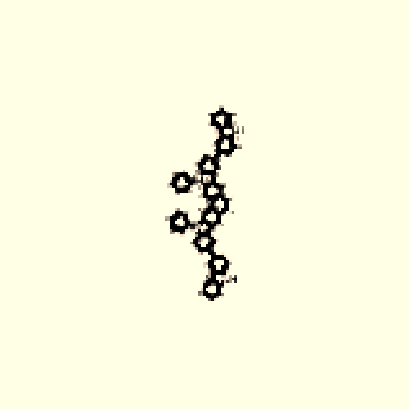 C1=C(c2ccc3[nH]c4ccccc4c3c2)CCc2c1c1cc3c(cc1n2-c1ccccc1)-c1cc2c(cc1CC3)c1cc(-c3ccc4[nH]c5ccccc5c4c3)ccc1n2-c1ccccc1